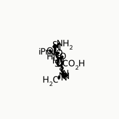 C=CCn1nnnc1SCC1=C(C(=O)O)N2C(=O)C(NC(=O)C(=NOC(C)C)c3csc(N)n3)[C@@H]2SC1